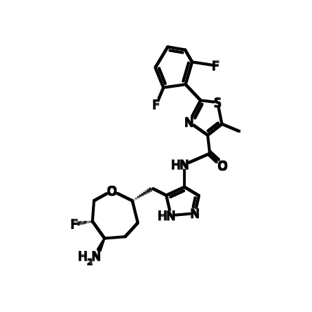 Cc1sc(-c2c(F)cccc2F)nc1C(=O)Nc1cn[nH]c1C[C@@H]1CC[C@@H](N)[C@H](F)CO1